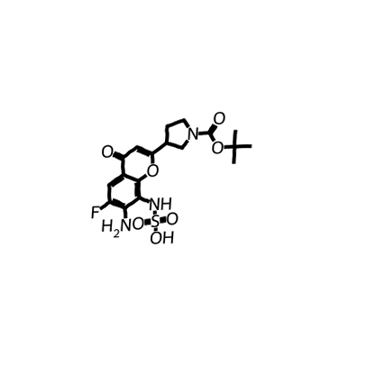 CC(C)(C)OC(=O)N1CCC(c2cc(=O)c3cc(F)c(N)c(NS(=O)(=O)O)c3o2)C1